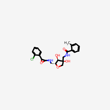 Cc1ccccc1C(=O)NC[C@]1(O)CO[C@H](CNC2OC2c2ccccc2Cl)[C@H]1O